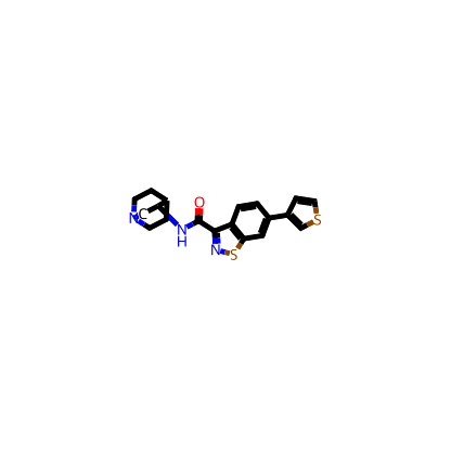 O=C(NC1CN2CCC1CC2)c1nsc2cc(-c3ccsc3)ccc12